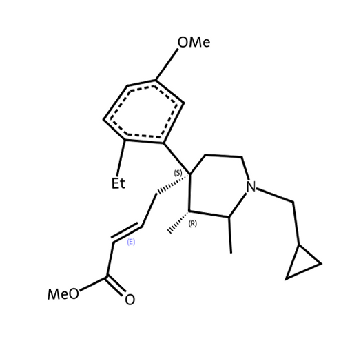 CCc1ccc(OC)cc1[C@@]1(C/C=C/C(=O)OC)CCN(CC2CC2)C(C)[C@@H]1C